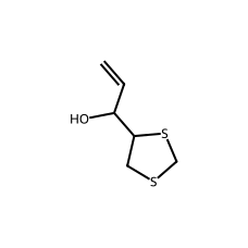 C=CC(O)C1CSCS1